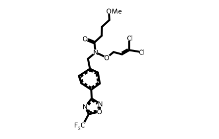 COCCCC(=O)N(Cc1ccc(-c2noc(C(F)(F)F)n2)cc1)OCC=C(Cl)Cl